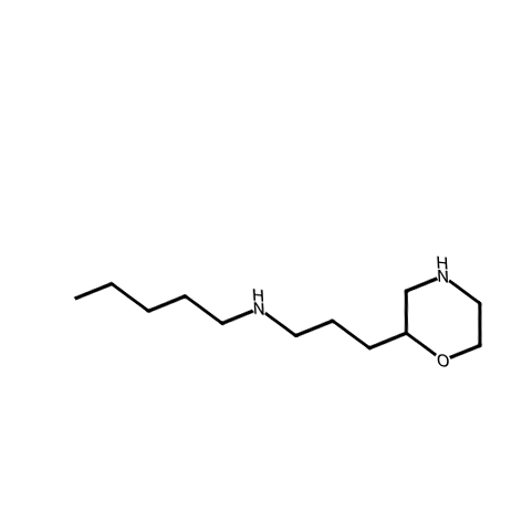 CCCCCNCCCC1CNCCO1